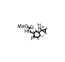 COC(=O)Nc1cc(C2(N)CC2)ccc1F